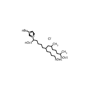 CCCCCCCCCCCCCCC(CCCCC(CCCCCCCC)[n+]1ccn(CCCC)c1)CC(C)CCCC(C)CCCCCCCC.[Cl-]